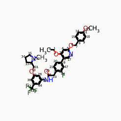 CCOc1cc(OCc2ccc(OC)cc2)ncc1-c1ccc(CC(=O)Nc2cc(OCC3CCCN3C)cc(C(F)(F)F)c2)c(F)c1